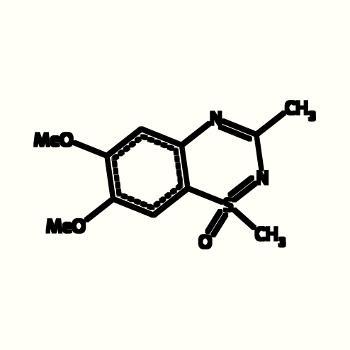 COc1cc2c(cc1OC)S(C)(=O)=NC(C)=N2